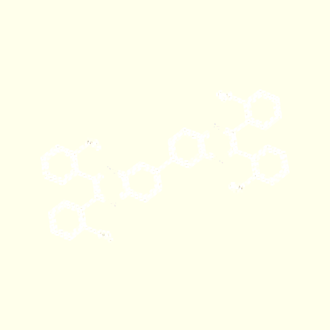 O=[N+]([O-])c1ccccc1-c1nc2ccc(-c3ccc4nc(-c5ccccc5[N+](=O)[O-])c(-c5ccccc5[N+](=O)[O-])nc4c3)cc2nc1-c1ccccc1[N+](=O)[O-]